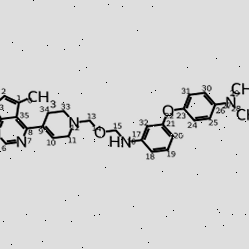 Cc1c[nH]c2ncnc(C3=CCN(COCNc4cccc(Oc5ccc(N(C)C)cc5)c4)CC3)c12